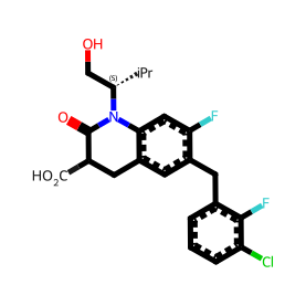 CC(C)[C@@H](CO)N1C(=O)C(C(=O)O)Cc2cc(Cc3cccc(Cl)c3F)c(F)cc21